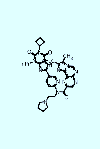 CCCn1c(=O)n(C2CCC2)c(=O)c2[nH]c(-c3ccc(N(CCN4CCCC4)C(=O)c4cnc5ncn6c(C)c(C)nc6c5n4)nc3)nc21